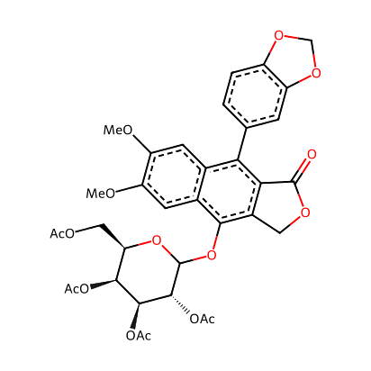 COc1cc2c(OC3O[C@H](COC(C)=O)[C@H](OC(C)=O)[C@H](OC(C)=O)[C@H]3OC(C)=O)c3c(c(-c4ccc5c(c4)OCO5)c2cc1OC)C(=O)OC3